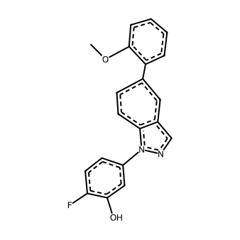 COc1ccccc1-c1ccc2c(cnn2-c2ccc(F)c(O)c2)c1